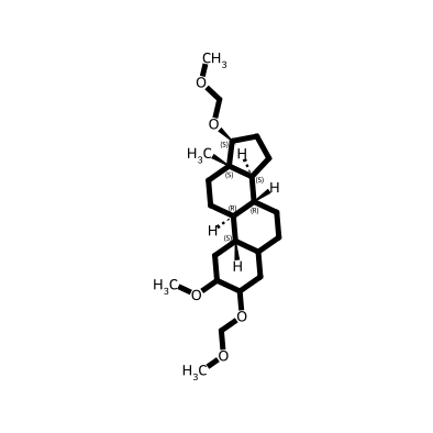 COCOC1CC2CC[C@@H]3[C@H](CC[C@]4(C)[C@@H](OCOC)CC[C@@H]34)[C@H]2CC1OC